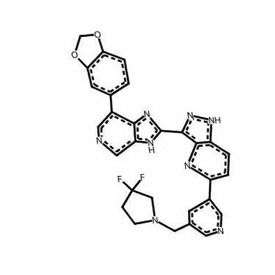 FC1(F)CCN(Cc2cncc(-c3ccc4[nH]nc(-c5nc6c(-c7ccc8c(c7)OCO8)cncc6[nH]5)c4n3)c2)C1